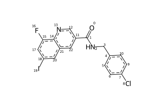 O=C(NCc1ccc(Cl)cc1)c1cnc2c(F)cc(I)cc2c1